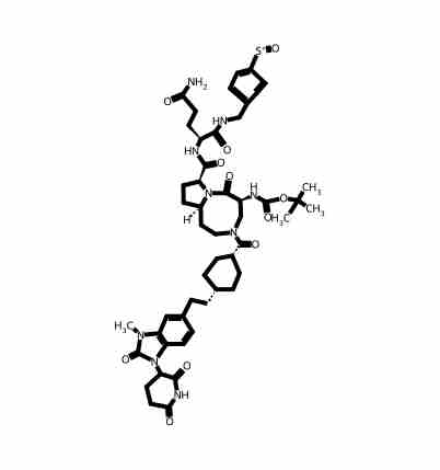 Cn1c(=O)n(C2CCC(=O)NC2=O)c2ccc(CC[C@H]3CC[C@@H](C(=O)N4CC[C@H]5CC[C@@H](C(=O)N[C@@H](CCC(N)=O)C(=O)NCc6ccc([S+]=O)cc6)N5C(=O)[C@@H](NC(=O)OC(C)(C)C)C4)CC3)cc21